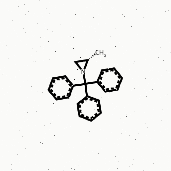 C[C@H]1CN1C(c1ccccc1)(c1ccccc1)c1ccccc1